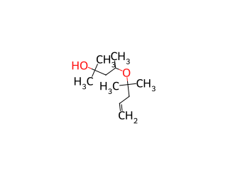 C=CCC(C)(C)OC(C)CC(C)(C)O